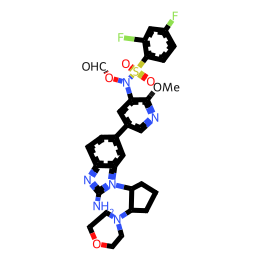 COc1ncc(-c2ccc3nc(N)n(C4CCCC4N4CCOCC4)c3c2)cc1N(OC=O)S(=O)(=O)c1ccc(F)cc1F